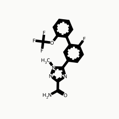 Cn1nc(C(N)=O)nc1-c1ccc(F)c(-c2ccccc2OC(F)(F)F)c1